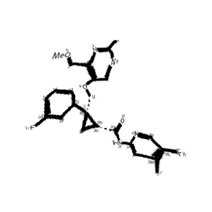 COCc1nc(C)ncc1OC[C@@]1(C2C=CC=C(F)C2)C[C@H]1C(=O)Nc1cc(C)c(F)cn1